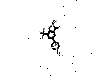 CN1CC2CCC1CN2c1cc2c(c(C(F)(F)F)c1)CN(S)C2=O